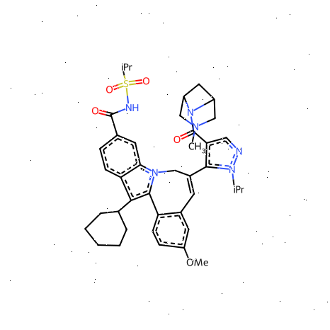 COc1ccc2c(c1)C=C(c1c(C(=O)N3C4CC3CN(C)C4)cnn1C(C)C)Cn1c-2c(C2CCCCC2)c2ccc(C(=O)NS(=O)(=O)C(C)C)cc21